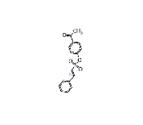 CC(=O)c1ccc(OS(=O)(=O)/C=C/c2ccccc2)cc1